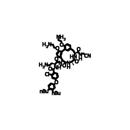 CCCCc1ccc(Oc2ccc(C(=O)N[C@@H](CCN)C(=O)N(C)[C@@H]3C(=O)N[C@@H](C)C(=O)N[C@H](C(=O)NCC#N)Cc4ccc(OCCN)c(c4)-c4cc3ccc4OCCN)c(Cl)c2)cc1CCCC